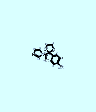 CCc1ccc(C2(C(CC)n3ccnc3)OCCO2)cc1